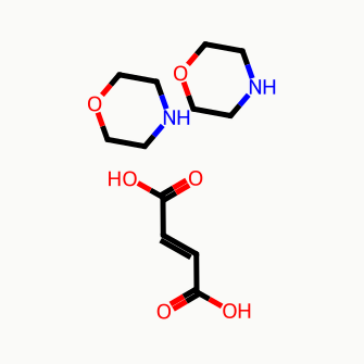 C1COCCN1.C1COCCN1.O=C(O)C=CC(=O)O